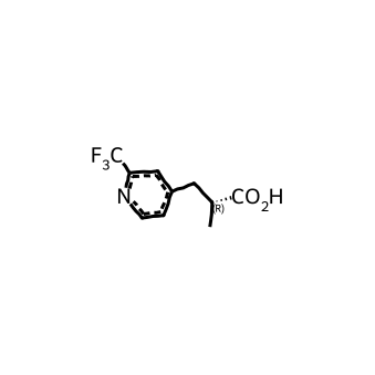 C[C@H](Cc1ccnc(C(F)(F)F)c1)C(=O)O